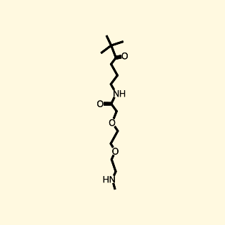 CNCCOCCOCC(=O)NCCCC(=O)C(C)(C)C